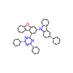 c1ccc(-c2ccc3c(c2)c2ccccc2n3-c2cc(-c3nc(-c4ccccc4)nc(-c4ccccc4)n3)c3c(c2)oc2ccccc23)cc1